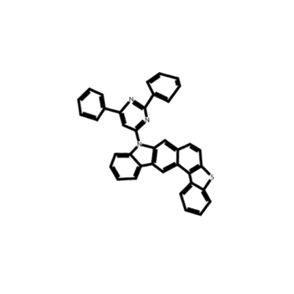 c1ccc(-c2cc(-n3c4ccccc4c4cc5c(ccc6sc7ccccc7c65)cc43)nc(-c3ccccc3)n2)cc1